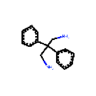 NCC(CN)(c1ccccc1)c1ccccc1